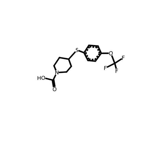 O=C(O)N1CCC(Sc2ccc(OC(F)(F)F)cc2)CC1